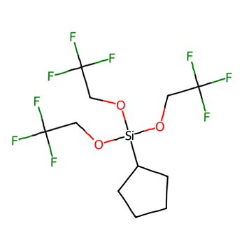 FC(F)(F)CO[Si](OCC(F)(F)F)(OCC(F)(F)F)C1CCCC1